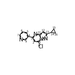 Clc1cc(-c2cccnc2)nc2cc(C3CC3)nn12